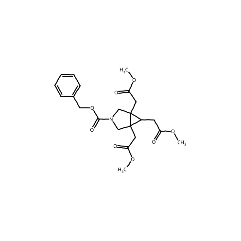 COC(=O)CC1C2(CC(=O)OC)CN(C(=O)OCc3ccccc3)CC12CC(=O)OC